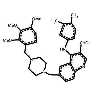 COc1ccc(CN2CCN(Cc3ccc4ncc([C]=O)c(Nc5ccc(C)c(C)c5)c4c3)CC2)c(OC)c1OC